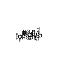 O=C(N[C@@H]1CCO[C@]12O[C@H](CO)[C@H](O)[C@H](n1cc(-c3cc(F)c(F)c(F)c3)nn1)[C@H]2O)c1c[nH]c2cccc(Cl)c12